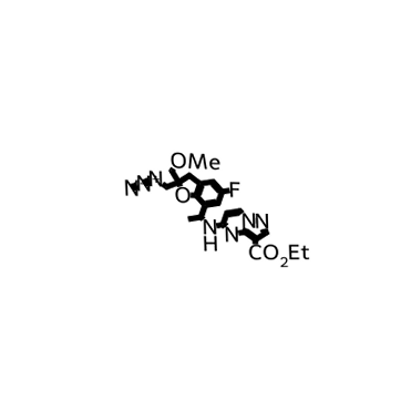 CCOC(=O)c1cnn2ccc(NC(C)c3cc(F)cc4c3OC(CN=[N+]=[N-])(COC)C4)nc12